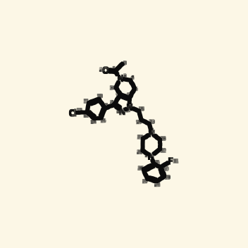 CC(=O)N1CCc2c(c(-c3ccc(Cl)cc3)nn2CCCN2CCN(c3ccccc3F)CC2)C1